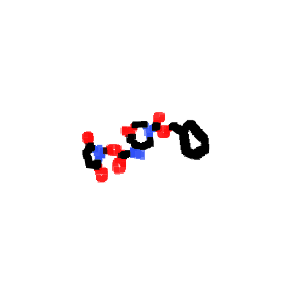 O=C(N[C@@H]1CCN(C(=O)OCc2ccccc2)CCOC1)ON1C(=O)CCC1=O